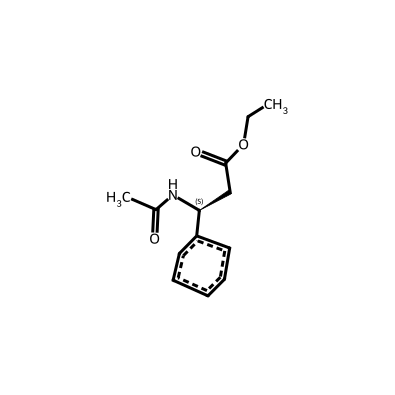 CCOC(=O)C[C@H](NC(C)=O)c1ccccc1